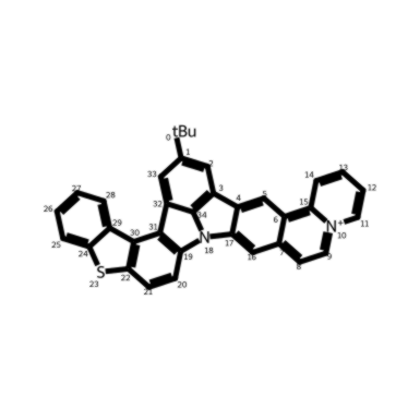 CC(C)(C)c1cc2c3cc4c(cc[n+]5ccccc45)cc3n3c4ccc5sc6ccccc6c5c4c(c1)c23